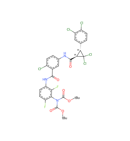 CC(C)(C)OC(=O)N(C(=O)OC(C)(C)C)c1c(F)ccc(NC(=O)c2cc(NC(=O)[C@H]3[C@H](c4ccc(Cl)c(Cl)c4)C3(Cl)Cl)ccc2Cl)c1F